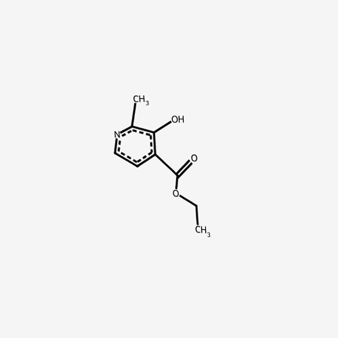 CCOC(=O)c1ccnc(C)c1O